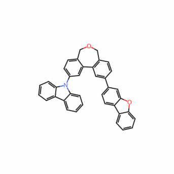 c1ccc2c(c1)oc1cc(-c3ccc4c(c3)-c3cc(-n5c6ccccc6c6ccccc65)ccc3COC4)ccc12